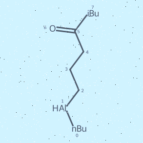 CCC[CH2][AlH][CH2]CCC(=O)C(C)CC